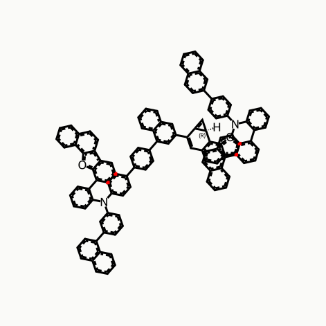 C1=C(c2cc(-c3ccc(-c4ccc(N(c5cccc(-c6cccc7ccccc67)c5)c5ccccc5-c5cccc6c5oc5c7ccccc7ccc65)cc4)cc3)c3ccccc3c2)C2=C[C@H]2c2c1ccc1c2oc2c(-c3ccccc3N(c3ccc(-c4ccc5ccccc5c4)cc3)c3ccc4c(ccc5ccccc54)c3)cccc21